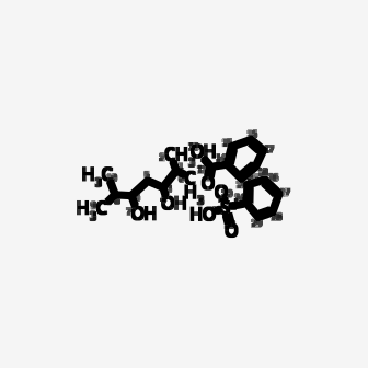 CC(C)C(O)CC(O)C(C)C.O=C(O)c1ccccc1.O=S(=O)(O)c1ccccc1